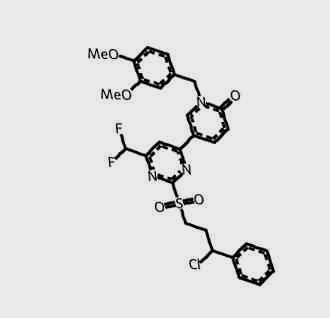 COc1ccc(Cn2cc(-c3cc(C(F)F)nc(S(=O)(=O)CCC(Cl)c4ccccc4)n3)ccc2=O)cc1OC